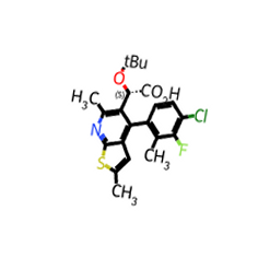 Cc1cc2c(-c3ccc(Cl)c(F)c3C)c([C@H](OC(C)(C)C)C(=O)O)c(C)nc2s1